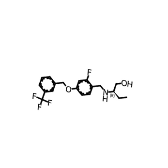 CC[C@H](CO)NCc1ccc(OCc2cccc(C(F)(F)F)c2)cc1F